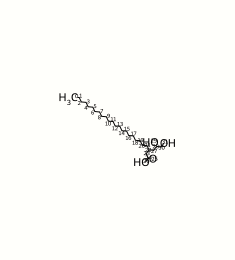 CCCCCCCCCCCCCCCCCCCCCCC(CC(=O)O)CC(O)CO